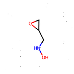 ONCC1CO1